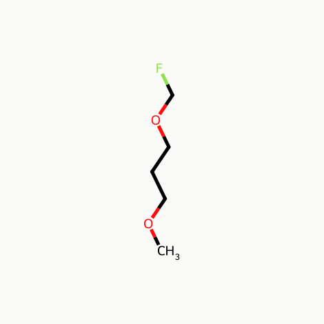 COCCCOCF